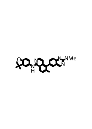 CNc1ncc2cc(-c3c(C)ccc4c(Nc5ccc6c(c5)C(C)(C)CO6)nccc34)ccc2n1